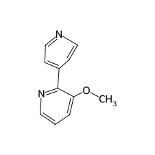 COc1cccnc1-c1ccncc1